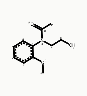 COc1ccccc1N(CCO)C(C)=O